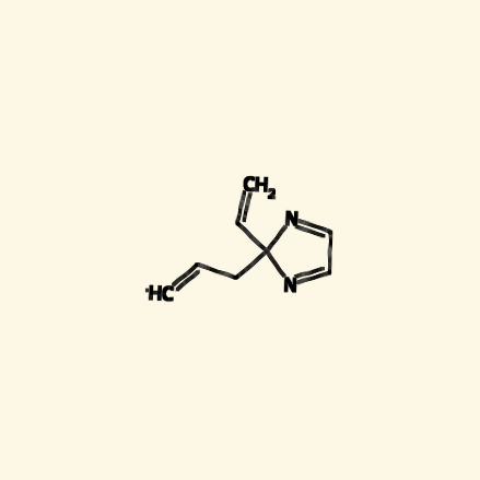 [CH]=CCC1(C=C)N=CC=N1